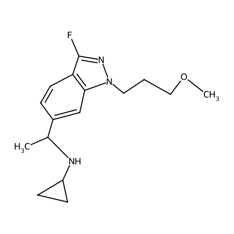 COCCCn1nc(F)c2ccc(C(C)NC3CC3)cc21